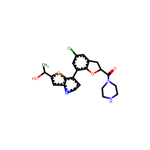 CC(O)c1cc2nccc(-c3cc(Cl)cc4c3OC(C(=O)N3CCNCC3)C4)c2s1